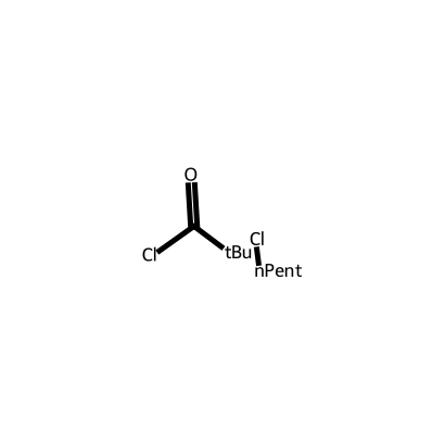 CC(C)(C)C(=O)Cl.CCCCCCl